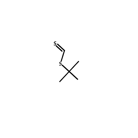 CC(C)(C)SC=S